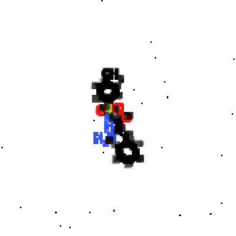 Cc1ccc(S(=O)(=O)NC(=O)[C@@H](N)Cc2ccccc2)cc1